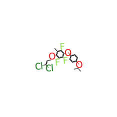 Cc1c(F)c(Oc2ccc(OC(C)C)cc2)c(F)c(F)c1OCC=C(Cl)Cl